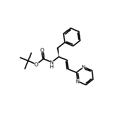 CC(C)(C)OC(=O)N[C@H](/C=C/c1ncccn1)Cc1ccccc1